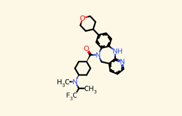 CC(N(C)[C@H]1CC[C@@H](C(=O)N2Cc3cccnc3Nc3ccc(C4CCOCC4)cc32)CC1)C(F)(F)F